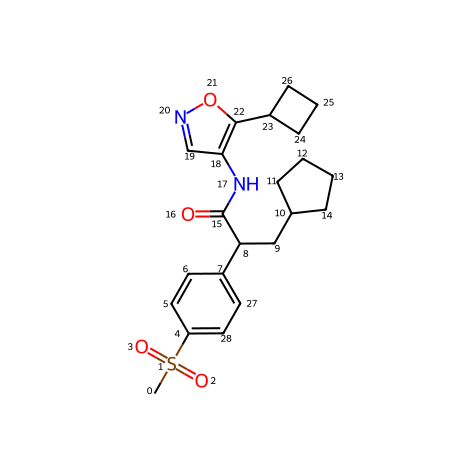 CS(=O)(=O)c1ccc(C(CC2CCCC2)C(=O)Nc2cnoc2C2CCC2)cc1